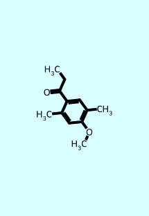 CCC(=O)c1cc(C)c(OC)cc1C